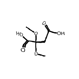 COC(CC(=O)O)(OC)C(=O)O